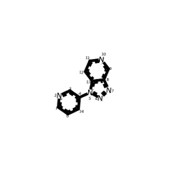 c1cncc(-n2nnc3cnccc32)c1